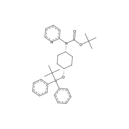 CC(C)(C)OC(=O)N(c1ccccn1)[C@H]1CC[C@@H](O[Si](c2ccccc2)(c2ccccc2)C(C)(C)C)CC1